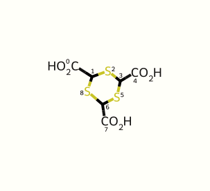 O=C(O)C1SC(C(=O)O)SC(C(=O)O)S1